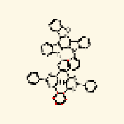 c1ccc(-c2nc(-c3ccccc3)nc(-c3ccc(-n4c5ccccc5c5c6c7ccccc7oc6c6c7ccccc7n(-c7ccccc7)c6c54)cc3-c3nc(-c4ccccc4)nc(-c4ccccc4)n3)n2)cc1